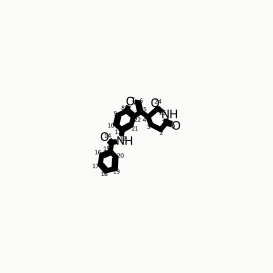 O=C1CCC(c2coc3ccc(NC(=O)c4ccccc4)cc23)C(=O)N1